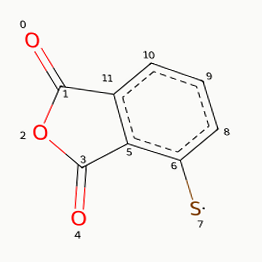 O=C1OC(=O)c2c([S])cccc21